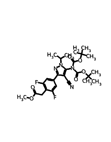 COC(=O)Cc1c(F)cc(-c2nn(C(C)C)c(N(C(=O)OC(C)(C)C)C(=O)OC(C)(C)C)c2C#N)cc1F